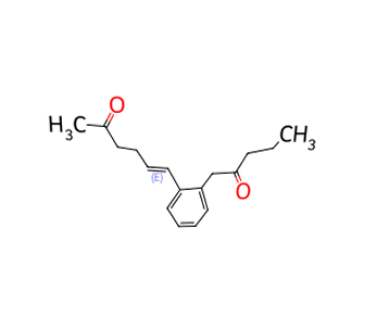 CCCC(=O)Cc1ccccc1/C=C/CCC(C)=O